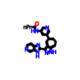 CCCC(=O)Nc1cncc(C2=CCC=c3[nH]nc(-c4nc5ccncc5[nH]4)c3=C2)c1